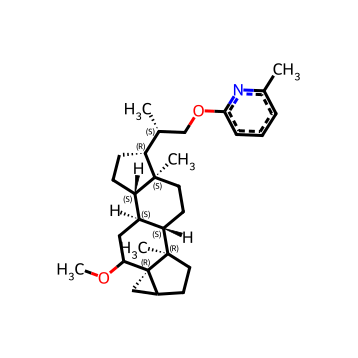 COC1C[C@H]2[C@@H]3CC[C@H]([C@H](C)COc4cccc(C)n4)[C@@]3(C)CC[C@@H]2[C@@]2(C)CCC3C[C@]312